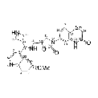 COc1ccc2nccc(C(NCC3CN(c4ccc5c(c4)NC(=O)CS5)C(=O)O3)C3CNC3)c2n1